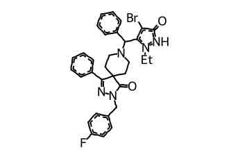 CCn1[nH]c(=O)c(Br)c1C(c1ccccc1)N1CCC2(CC1)C(=O)N(Cc1ccc(F)cc1)N=C2c1ccccc1